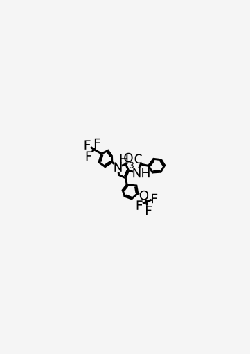 C[C@@H](NC1=C(c2cccc(OC(F)(F)F)c2)CN(c2ccc(C(F)(F)F)cc2)C1=O)c1ccccc1